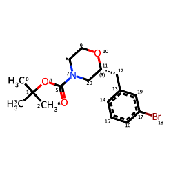 CC(C)(C)OC(=O)N1CCO[C@H](Cc2cccc(Br)c2)C1